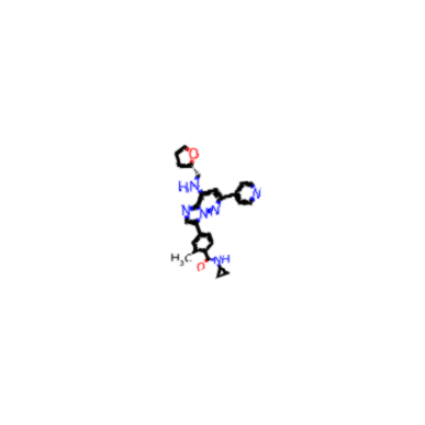 Cc1cc(-c2cnc3c(NC[C@@H]4CCCO4)cc(-c4ccncc4)nn23)ccc1C(=O)NC1CC1